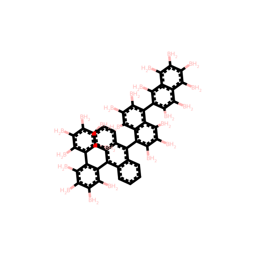 Bc1c(B)c(B)c(-c2c(B)c(B)c(B)c(B)c2-c2c3ccccc3c(-c3c(B)c(B)c(B)c4c(-c5c(B)c(B)c6c(B)c(B)c(B)c(B)c6c5B)c(B)c(B)c(B)c34)c3ccccc23)c(B)c1B